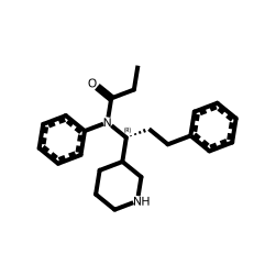 CCC(=O)N(c1ccccc1)[C@H](CCc1ccccc1)C1CCCNC1